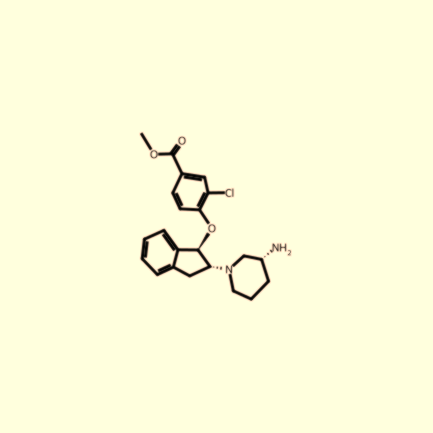 COC(=O)c1ccc(O[C@@H]2c3ccccc3C[C@H]2N2CCC[C@@H](N)C2)c(Cl)c1